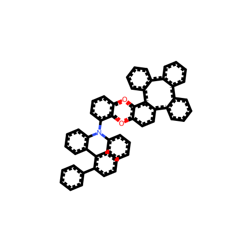 c1ccc(-c2ccccc2-c2ccccc2N(c2ccccc2)c2cccc3oc4c(ccc5c6ccccc6c6ccccc6c6ccccc6c54)oc23)cc1